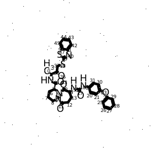 C[C@H](NC(=O)[C@@H]1CCCN2C(=O)CCC(NC(=O)Nc3ccc(Oc4ccccc4)cc3)C(=O)N12)C(=O)CSc1nc2ccccc2s1